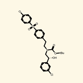 CC(C)(C)OC(=O)N(CCc1ccc(S(=O)(=O)c2ccc([O])cc2)cc1)C[C@H](O)c1cccc(Cl)c1